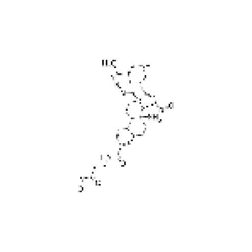 CCC1=CNCC(C2=C[C@@H](N=O)C3[C@]2(CN=[N+]=[N-])CCC2C4C=CC(C(=O)NCCC(=O)N=O)=CC4CC[C@]23N)=C1